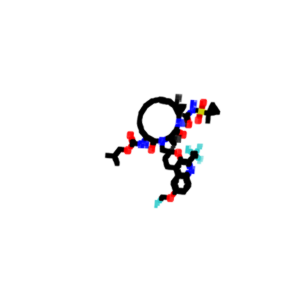 CC(C)COC(=O)N[C@H]1CCCCC/C=C\[C@@H]2C[C@@]2(C(=O)NS(=O)(=O)C2(C)CC2)NC(=O)[C@@H]2C[C@]3(CCc4c(c(C(F)(F)F)nc5ccc(OCF)cc45)O3)CN2C1=O